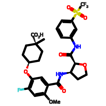 COc1cc(F)c(O[C@H]2CC[C@@](C)(C(=O)O)CC2)cc1C(=O)N[C@@H]1CCO[C@@H]1C(=O)Nc1cccc(S(=O)(=O)C(F)(F)F)c1